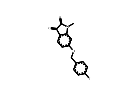 CN1C(=O)C(=O)c2ccc(OCc3ccc(F)cc3)cc21